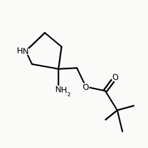 CC(C)(C)C(=O)OCC1(N)CCNC1